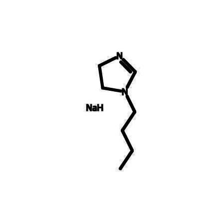 CCCCN1C=NCC1.[NaH]